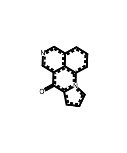 O=c1c2cncc3cccc(c32)n2cccc12